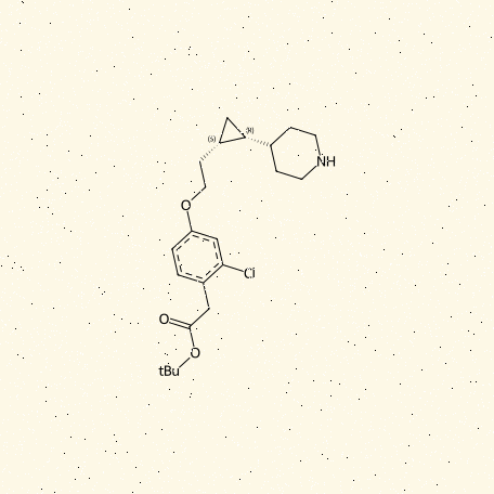 CC(C)(C)OC(=O)Cc1ccc(OCC[C@@H]2C[C@@H]2C2CCNCC2)cc1Cl